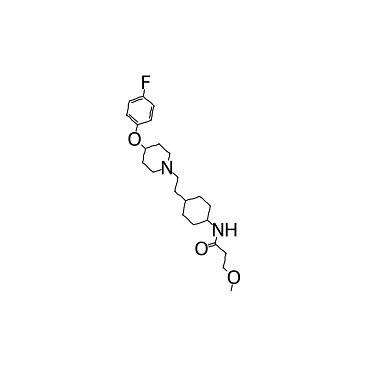 COCCC(=O)NC1CCC(CCN2CCC(Oc3ccc(F)cc3)CC2)CC1